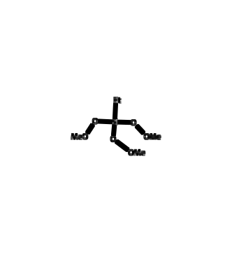 CC[Si](OOC)(OOC)OOC